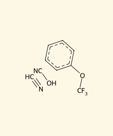 C#N.FC(F)(F)Oc1ccccc1.N#CO